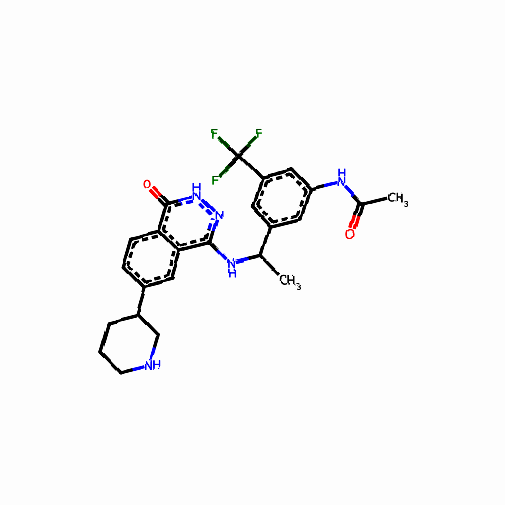 CC(=O)Nc1cc(C(C)Nc2n[nH]c(=O)c3ccc(C4CCCNC4)cc23)cc(C(F)(F)F)c1